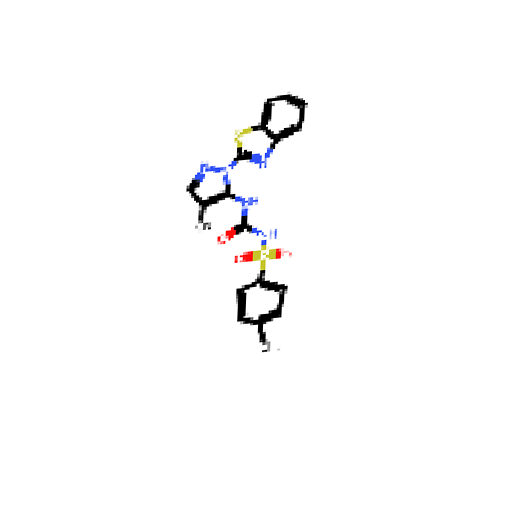 Cc1ccc(S(=O)(=O)NC(=O)Nc2c(C#N)cnn2-c2nc3ccccc3s2)cc1